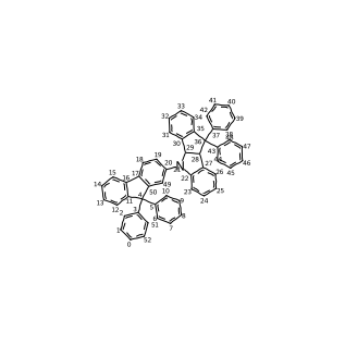 c1ccc(C2(c3ccccc3)c3ccccc3-c3ccc(N4c5ccccc5C5C4c4ccccc4C5(c4ccccc4)c4ccccc4)cc32)cc1